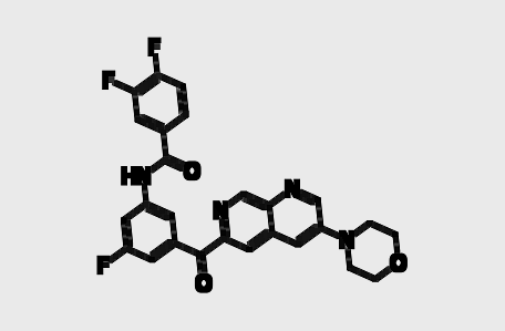 O=C(Nc1cc(F)cc(C(=O)c2cc3cc(N4CCOCC4)cnc3cn2)c1)c1ccc(F)c(F)c1